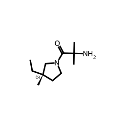 CC[C@@]1(C)CCN(C(=O)C(C)(C)N)C1